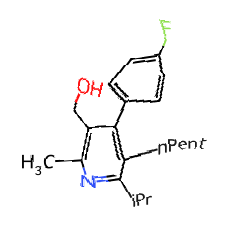 CCCCCc1c(C(C)C)nc(C)c(CO)c1-c1ccc(F)cc1